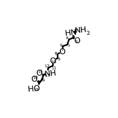 NNC(=O)CCCOCCOCCNC(=O)CC(=O)O